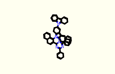 C1=CCCC(C2=NC(C3=CCC4C=CC=CC4=C3n3c4c(c5c3=CC3=CC=CCC3C=5)C=C(n3c5c(c6ccccc63)C=CCC5)CC4)NC(c3ccccc3)=N2)=C1